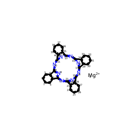 [Mg+2].c1ccc2c(c1)-c1nc-2nc2[n-]c(nc3nc(nc4[n-]c(n1)c1ccccc41)-c1ccccc1-3)c1ccccc21